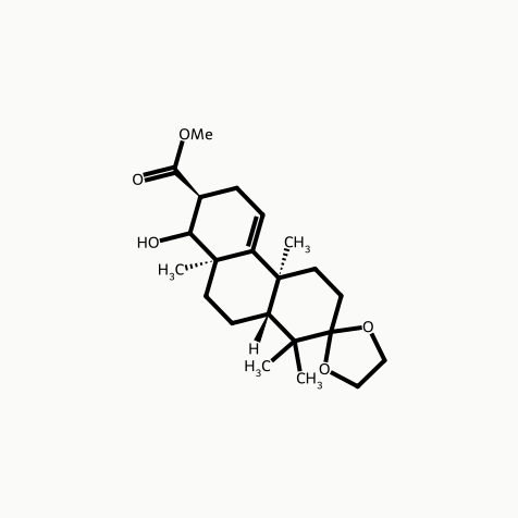 COC(=O)[C@H]1CC=C2[C@@](C)(CC[C@H]3C(C)(C)C4(CC[C@]23C)OCCO4)C1O